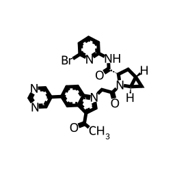 CC(=O)c1cn(CC(=O)N2[C@@H]3C[C@H]3C[C@H]2C(=O)Nc2cccc(Br)n2)c2ccc(-c3cncnc3)cc12